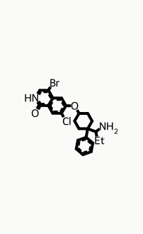 CCC(N)C1(c2ccccc2)CCC(Oc2cc3c(Br)c[nH]c(=O)c3cc2Cl)CC1